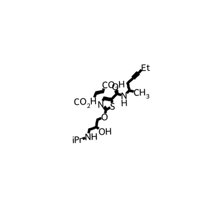 CCC#CCC(C)NC(=O)c1cnc(OCC(O)CNC(C)C)s1.O=C(O)C=CC(=O)O